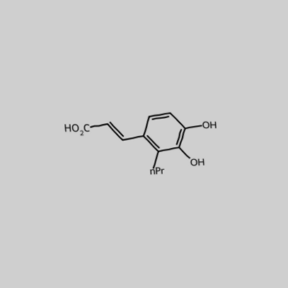 CCCc1c(C=CC(=O)O)ccc(O)c1O